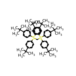 CC(C)(C)c1ccc(S(CS(c2ccc(C(C)(C)C)cc2)(c2ccc(C(C)(C)C)cc2)c2ccc(C(C)(C)C)cc2)(c2ccc(C(C)(C)C)cc2)c2ccc(C(C)(C)C)cc2)cc1